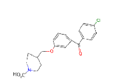 O=C(c1ccc(Cl)cc1)c1cccc(OCC2CCN(C(=O)O)CC2)c1